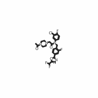 CC(=O)N1CCN(CC(=O)N(Cc2ccc(-c3nnc(C(F)F)o3)cc2F)c2ccc(F)c(Cl)c2)CC1